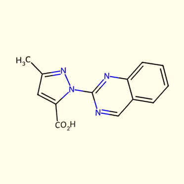 Cc1cc(C(=O)O)n(-c2ncc3ccccc3n2)n1